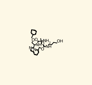 CC(C)(N)C(=O)NC(COCc1ccccc1)c1ncc2cccc(COC(=O)NCCCCO)n12